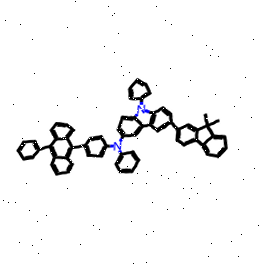 CC1(C)c2ccccc2-c2ccc(-c3ccc4c(c3)c3cc(N(c5ccccc5)c5ccc(-c6c7ccccc7c(-c7ccccc7)c7ccccc67)cc5)ccc3n4-c3ccccc3)cc21